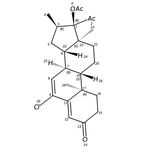 CC(=O)O[C@]1(C(C)=O)[C@H](C)C[C@H]2[C@@H]3C=C(Cl)C4=CC(=O)CC[C@]4(C)[C@H]3CC[C@@]21C